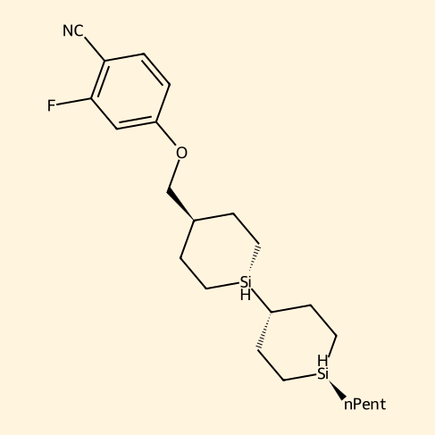 CCCCC[Si@H]1CC[C@H]([Si@H]2CC[C@H](COc3ccc(C#N)c(F)c3)CC2)CC1